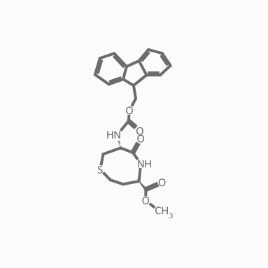 COC(=O)[C@H]1CCSC[C@H](NC(=O)OCC2c3ccccc3-c3ccccc32)C(=O)N1